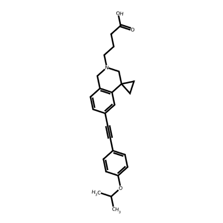 CC(C)Oc1ccc(C#Cc2ccc3c(c2)C2(CC2)CN(CCCC(=O)O)C3)cc1